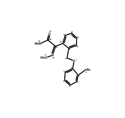 CCCCc1ccccc1OCc1ccccc1C(=NOC)C(=O)NC